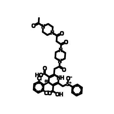 CC(=O)N1CCN(C(=O)CC(=O)N2CCN(C(=O)CC3=C(C(=O)O)[C@H](c4c(Cl)cccc4Cl)C(C(=O)O)=C(C[S+]([O-])c4ccccc4)N3)CC2)CC1